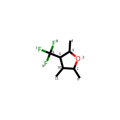 CC1OC(C)C(C(F)(F)F)C1C